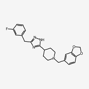 Fc1cccc(Cc2n[nH]c(C3CCN(Cc4ccc5c(c4)OCO5)CC3)n2)c1